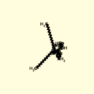 CCCCCCCCCCCCCCCCCC(=O)OCC(CO)OC(=O)CCCCCCCCCCCCCCCCC.Nc1ccn([C@H]2CC[C@@H](COP(=O)(O)OP(=O)(O)O)O2)c(=O)n1